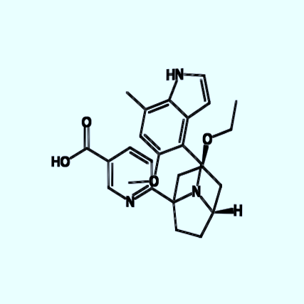 CCO[C@H]1C[C@@H]2CCC(c3ccc(C(=O)O)cn3)(C1)N2Cc1c(OC)cc(C)c2[nH]ccc12